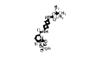 CC(C)(C)OC(=O)NC1CC2(C1)CC(NC(=O)[C@@H]1CC[C@@H]3CN1C(=O)N3OS(=O)(=O)O)C2